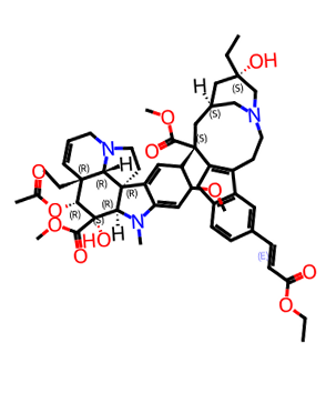 CCOC(=O)/C=C/c1ccc2c(c1)C1=C(C2)[C@@](C(=O)OC)(C2C=C3C(=CC2OC)N(C)[C@H]2[C@@](O)(C(=O)OC)[C@H](OC(C)=O)[C@]4(CC)C=CCN5CC[C@]32[C@@H]54)C[C@@H]2CN(CC1)C[C@](O)(CC)C2